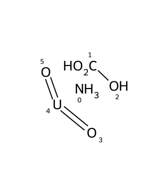 N.O=C(O)O.[O]=[U]=[O]